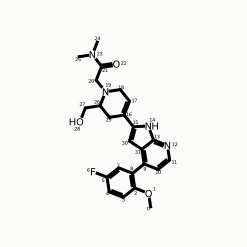 COc1ccc(F)cc1-c1ccnc2[nH]c(C3=CCN(CC(=O)N(C)C)C(CO)C3)cc12